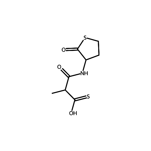 CC(C(=O)NC1CCSC1=O)C(O)=S